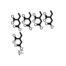 CCC(CC(=O)[O-])C(=O)[O-].CCC(CC(=O)[O-])C(=O)[O-].CCC(CC(=O)[O-])C(=O)[O-].CCC(CC(=O)[O-])C(=O)[O-].CCC(CC(=O)[O-])C(=O)[O-].[V+5].[V+5]